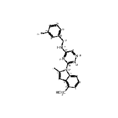 Cc1cc2c(C(=O)O)cccc2n1-c1nncc(NCc2cccc(F)c2)n1